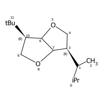 CC(C)C(C)[C@@H]1COC2C1OC[C@H]2C(C)(C)C